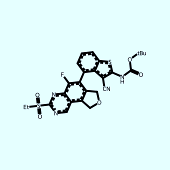 CCS(=O)(=O)c1ncc2c3c(c(-c4cccc5sc(NC(=O)OC(C)(C)C)c(C#N)c45)c(F)c2n1)COC3